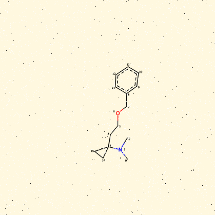 CN(C)C1(CCOCc2ccccc2)CC1